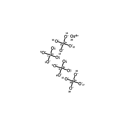 [O-][I+3]([O-])([O-])[O-].[O-][I+3]([O-])([O-])[O-].[O-][I+3]([O-])([O-])[O-].[O-][I+3]([O-])([O-])[O-].[Os+4]